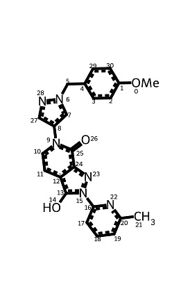 COc1ccc(Cn2cc(-n3ccc4c(O)n(-c5cccc(C)n5)nc4c3=O)cn2)cc1